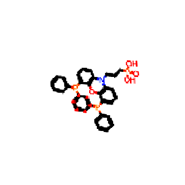 O=P(O)(O)CCCN1c2cccc(P(c3ccccc3)c3ccccc3)c2Oc2c1cccc2P(c1ccccc1)c1ccccc1